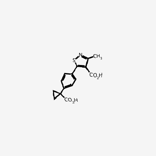 Cc1nsc(-c2ccc(C3(C(=O)O)CC3)cc2)c1C(=O)O